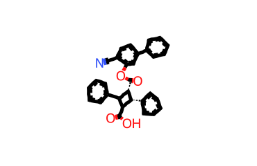 N#Cc1ccc(-c2ccccc2)cc1OC(=O)[C@H]1C(c2ccccc2)C(C(=O)O)[C@H]1c1ccccc1